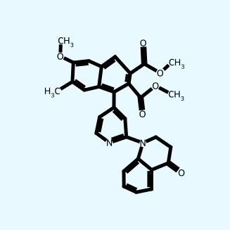 COC(=O)c1cc2cc(OC)c(C)cc2c(-c2ccnc(N3CCC(=O)c4ccccc43)c2)c1C(=O)OC